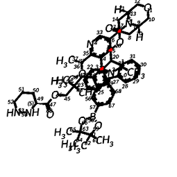 CCn1c(-c2cc(C3C[C@H]4COC[C@@H](C3)N4C(=O)OCC3c4ccccc4-c4ccccc43)cnc2[C@H](C)OC)c(CC(C)(C)COC(=O)[C@@H]2CCCNN2)c2cc(B3OC(C)(C)C(C)(C)O3)ccc21